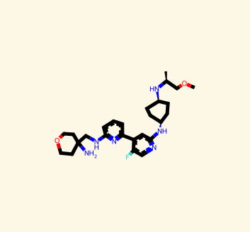 COC[C@H](C)N[C@H]1CC[C@H](Nc2cc(-c3cccc(NCC4(N)CCOCC4)n3)c(F)cn2)CC1